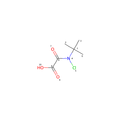 CC(C)(C)N(Cl)C(=O)C(=O)O